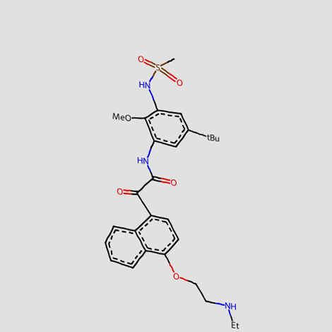 CCNCCOc1ccc(C(=O)C(=O)Nc2cc(C(C)(C)C)cc(NS(C)(=O)=O)c2OC)c2ccccc12